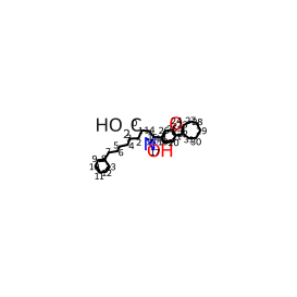 O=C(O)C(CCCCCCc1ccccc1)C/C(=N/O)c1ccc2c3c(oc2c1)CCCCC3